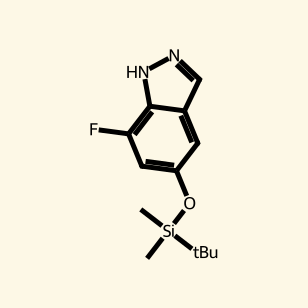 CC(C)(C)[Si](C)(C)Oc1cc(F)c2[nH]ncc2c1